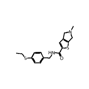 CCSc1ccc(CNC(=O)c2cc3c(s2)CN(C)C3)cc1